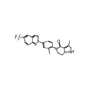 CC1=C2C(=O)N(c3ccc(-c4ncc5cc(C(F)(F)F)ccc5n4)cc3C)CCN2NC1